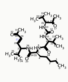 CCCCC[C@H](NC(=O)[C@@H](NC(=O)N[C@H](C(C)=O)C(C)C)C(C)C)C(=O)NC(/C=C/C(C)=O)C(C)C